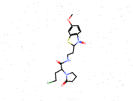 COc1ccc2c(c1)SC(CCNC(=O)C(CCCl)N1CCCC1=O)[N+]2=O